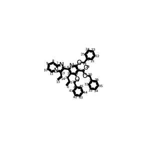 C=CCc1c(-c2nc3ccccn3c2C=C)nc(OCc2ccccc2)c(C(=O)OCc2ccccc2)c1OCc1ccccc1